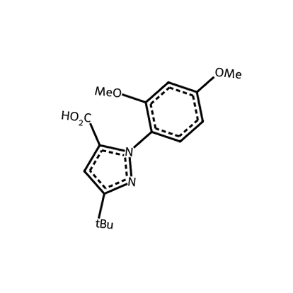 COc1ccc(-n2nc(C(C)(C)C)cc2C(=O)O)c(OC)c1